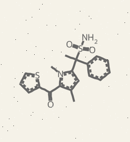 Cc1cc(C(C)(c2ccccc2)S(N)(=O)=O)n(C)c1C(=O)c1cccs1